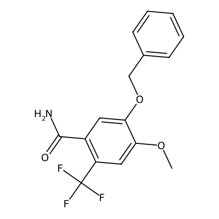 COc1cc(C(F)(F)F)c(C(N)=O)cc1OCc1ccccc1